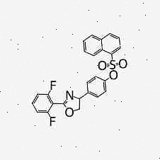 O=S(=O)(Oc1ccc(C2COC(c3c(F)cccc3F)=N2)cc1)c1cccc2ccccc12